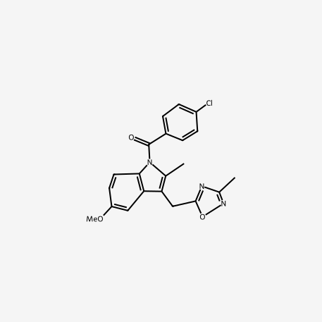 COc1ccc2c(c1)c(Cc1nc(C)no1)c(C)n2C(=O)c1ccc(Cl)cc1